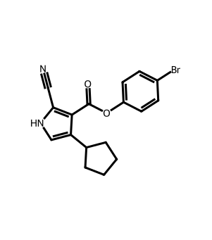 N#Cc1[nH]cc(C2CCCC2)c1C(=O)Oc1ccc(Br)cc1